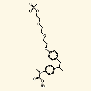 CC(Cc1ccc(OCCOCCOCCOS(C)(=O)=O)cc1)c1ccc(N(C)C(=O)OC(C)(C)C)cc1